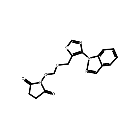 O=C1CCC(=O)N1OCOCc1scnc1-n1ncc2ccccc21